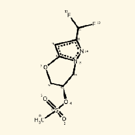 CS(=O)(=O)O[C@H]1COc2cc(C(F)F)nn2C1